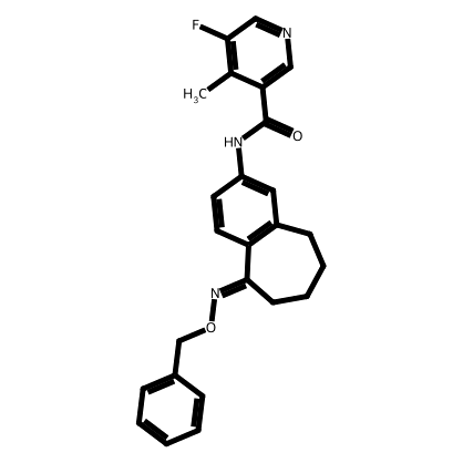 Cc1c(F)cncc1C(=O)Nc1ccc2c(c1)CCCCC2=NOCc1ccccc1